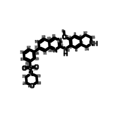 COc1cc2c(cc1Nc1ncc3ccc(-c4cccc(S(=O)(=O)N5CCOCC5)c4)cc3n1)CNCC2